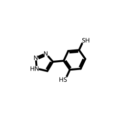 Sc1ccc(S)c(-c2c[nH]nn2)c1